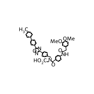 COc1ccc(CC(=O)Nc2ccc(C(=O)N(CC(=O)O)Cc3ccc(-c4noc(-c5ccc(-c6ccc(C)cc6)cc5)n4)cc3)cc2)cc1OC